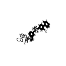 Cc1ccccc1-c1ccc(-c2nc(-c3ccc4c(ccn4C(C(=O)O)C(C)(C)C)c3)no2)cc1C